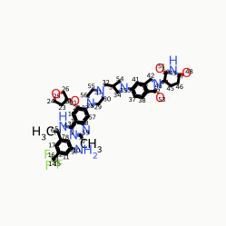 Cc1nc(N[C@H](C)c2cc(N)cc(C(F)(F)F)c2)c2cc(O[C@H]3CCOC3)c(N3CCN(CC4CN(c5ccc6c(c5)CN(C5CCC(=O)NC5=O)C6=O)C4)CC3)cc2n1